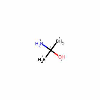 BC(B)(N)O